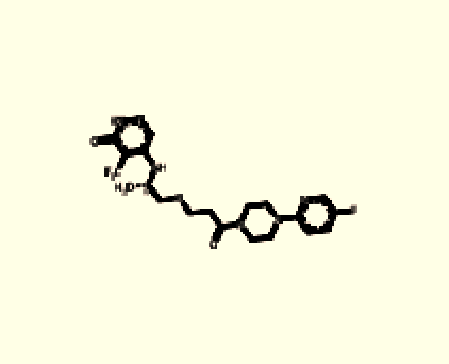 C[C@@H](COCCC(=O)N1CCN(c2ccc(F)cn2)CC1)Nc1cn[nH]c(=O)c1C(F)(F)F